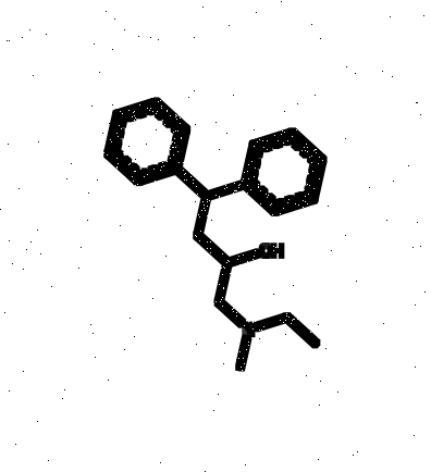 CCN(C)CC(O)CC(c1ccccc1)c1ccccc1